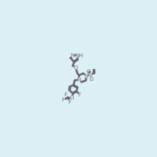 C=CS(=O)(=O)N1CCN(Cc2ccc(OC(F)(F)F)c(F)c2)C(COCc2cn[nH]c2)C1